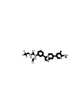 CNc1ncc(-c2ccn3c(-c4cccc(N(OC=O)C(=O)NCC(F)(F)F)c4)cnc3c2)cc1C